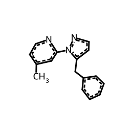 Cc1ccnc(-n2nccc2Cc2ccccc2)c1